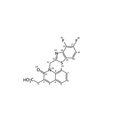 O=C(O)Cc1cc2ccccc2n(Cc2nc3c(F)c(F)ccc3s2)c1=O